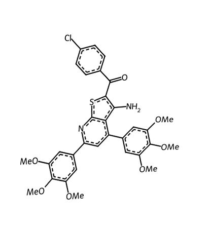 COc1cc(-c2cc(-c3cc(OC)c(OC)c(OC)c3)c3c(N)c(C(=O)c4ccc(Cl)cc4)sc3n2)cc(OC)c1OC